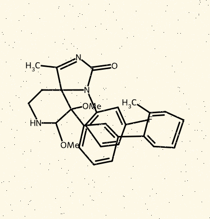 COC1NCCC2(C(C)=NC(=O)N2c2cccc(F)c2)C1(OC)c1cccc(-c2ccccc2C)c1